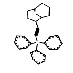 B1C2CCCC1C(C#C[Si](c1ccccc1)(c1ccccc1)c1ccccc1)CC2